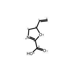 C=CC1CN=C(C(=O)O)O1